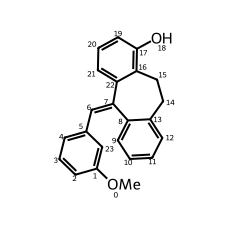 COc1cccc(/C=C2\c3ccccc3CCc3c(O)cccc32)c1